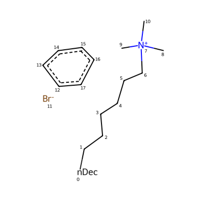 CCCCCCCCCCCCCCCC[N+](C)(C)C.[Br-].c1ccccc1